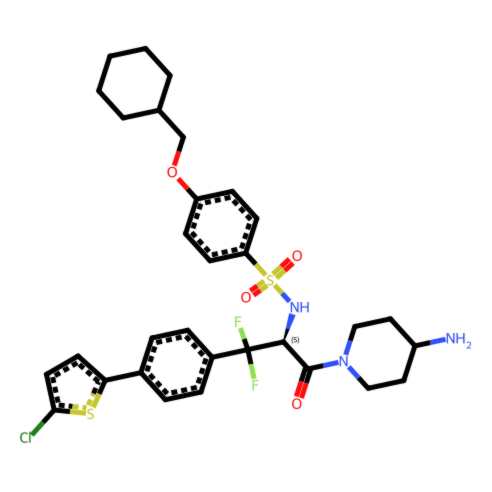 NC1CCN(C(=O)[C@H](NS(=O)(=O)c2ccc(OCC3CCCCC3)cc2)C(F)(F)c2ccc(-c3ccc(Cl)s3)cc2)CC1